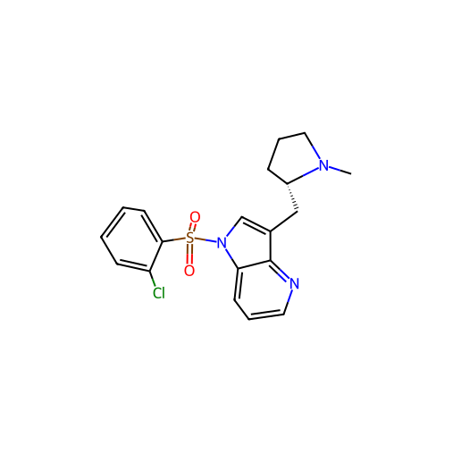 CN1CCC[C@H]1Cc1cn(S(=O)(=O)c2ccccc2Cl)c2cccnc12